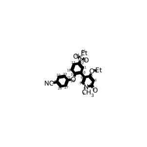 CCOc1cc(=O)n(C)cc1-c1cc(S(=O)(=O)CC)ccc1Oc1ccc(C#N)cc1